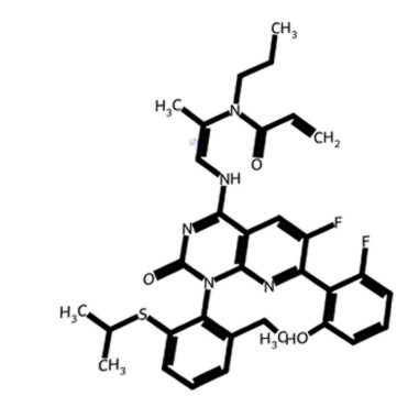 C=CC(=O)N(CCC)/C(C)=C\Nc1nc(=O)n(-c2c(CC)cccc2SC(C)C)c2nc(-c3c(O)cccc3F)c(F)cc12